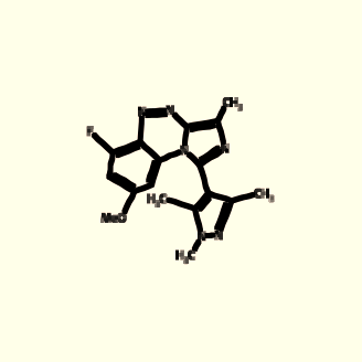 COc1cc(F)c2nnc3c(C)nc(-c4c(C)nn(C)c4C)n3c2c1